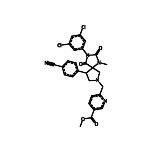 COC(=O)c1ccc(CN2CC(c3ccc(C#N)cc3)C3(C2)C(=O)N(c2cc(Cl)cc(Cl)c2)C(=O)N3C)nc1